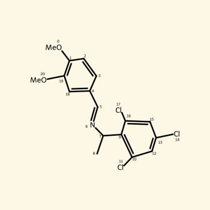 COc1ccc(C=NC(C)c2c(Cl)cc(Cl)cc2Cl)cc1OC